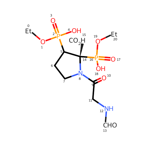 CCOP(=O)(O)C1CCN(C(=O)CNC=O)[C@@]1(C(=O)O)P(=O)(O)OCC